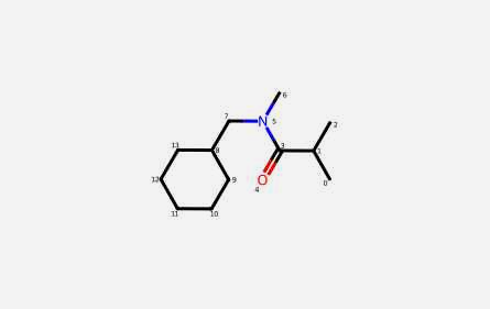 CC(C)C(=O)N(C)CC1CCCCC1